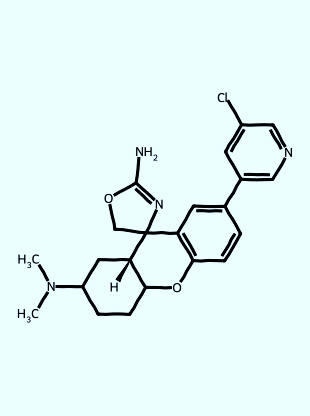 CN(C)C1CCC2Oc3ccc(-c4cncc(Cl)c4)cc3C3(COC(N)=N3)[C@H]2C1